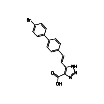 O=C(O)c1nn[nH]c1C=Cc1ccc(-c2ccc(Br)cc2)cc1